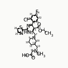 CCOC(=O)C1=C(CN2CCCC(CN(C)CC(=O)O)C2)NC(c2nccs2)=N[C@H]1c1ccc(F)cc1Cl